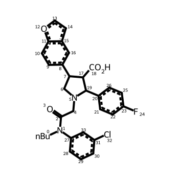 CCCCN(C(=O)CN1CC(c2ccc3occc3c2)C(C(=O)O)C1c1ccc(F)cc1)c1cccc(Cl)c1